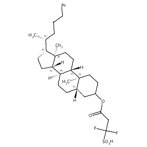 CC(C)CCC[C@@H](C)[C@H]1CC[C@H]2[C@@H]3CC[C@H]4CC(OC(=O)CC(F)(F)S(=O)(=O)O)CC[C@]4(C)[C@H]3CC[C@]12C